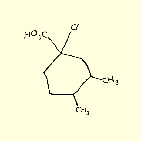 CC1CCC(Cl)(C(=O)O)CC1C